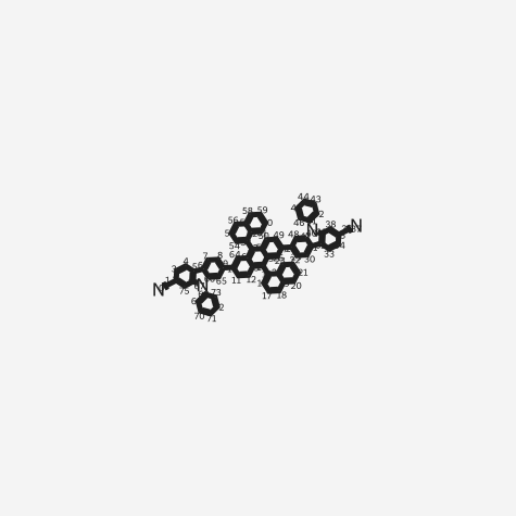 N#Cc1ccc2c3ccc(-c4ccc5c(-c6cccc7ccccc67)c6cc(-c7ccc8c9ccc(C#N)cc9n(-c9ccccc9)c8c7)ccc6c(-c6cccc7ccccc67)c5c4)cc3n(-c3ccccc3)c2c1